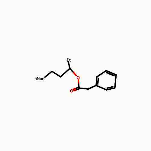 CCCCCCCCCCCC(CC)OC(=O)Cc1ccccc1